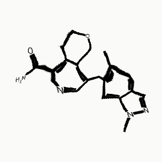 Cc1cc2cnn(C)c2cc1-c1cnc(C(N)=O)c2c1COC[CH]2